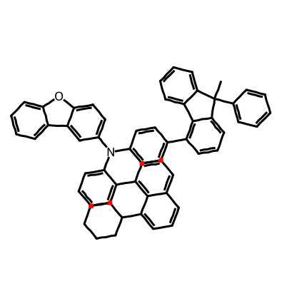 CC1(c2ccccc2)c2ccccc2-c2c(-c3ccc(N(c4ccc5oc6ccccc6c5c4)c4ccccc4-c4cccc5cccc(C6CCCCC6)c45)cc3)cccc21